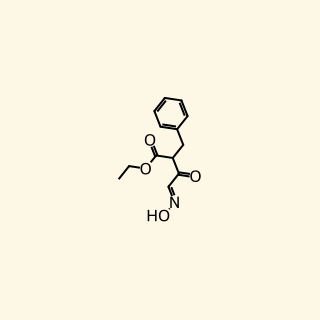 CCOC(=O)C(Cc1ccccc1)C(=O)/C=N/O